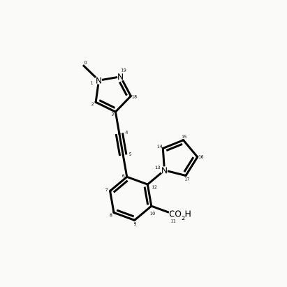 Cn1cc(C#Cc2cccc(C(=O)O)c2-n2cccc2)cn1